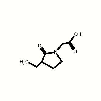 CCC1CCN(CC(=O)O)C1=O